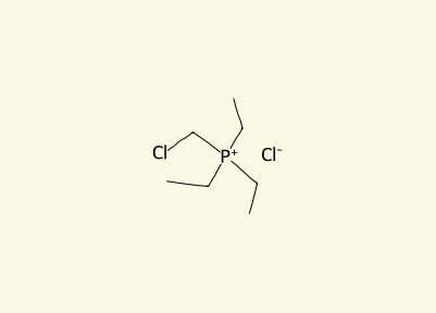 CC[P+](CC)(CC)CCl.[Cl-]